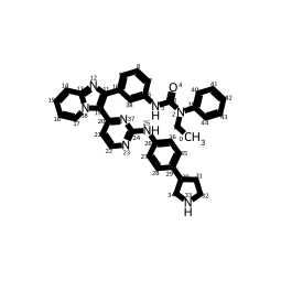 CCN(C(=O)Nc1cccc(-c2nc3ccccn3c2-c2ccnc(Nc3ccc(C4CCNC4)cc3)n2)c1)c1ccccc1